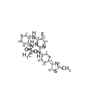 CC1=NC(c2ccc(Nc3ncc(F)c(Nc4ccccc4NS(C)(=O)=O)n3)cc2)CS1